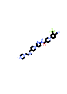 CN(CCN1CCNCC1)CC1CCN(c2ccc(NC(=O)C3CCN(c4ccc(C#N)c(C(F)(F)F)c4)CC3)nc2)CC1